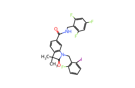 CC1(C)C(=O)N(Cc2c(F)cccc2I)c2cc(C(=O)NCc3c(F)cc(F)cc3F)ccc21